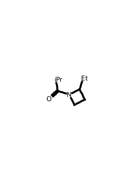 CCC1CCN1C(=O)C(C)C